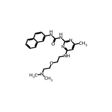 Cc1cc(NCCOCCN(C)C)nc(NC(=O)Nc2ccc3ccccc3c2)n1